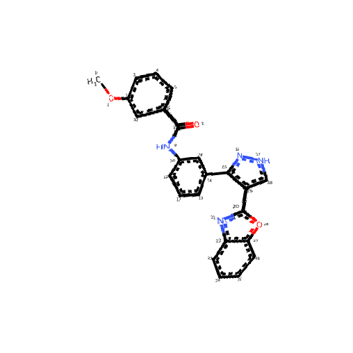 COc1cccc(C(=O)Nc2cccc(-c3n[nH]cc3-c3nc4ccccc4o3)c2)c1